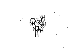 [3H]CC([3H])([3H])S(=O)(=O)c1c(-c2ccccn2)n[nH]c1[3H]